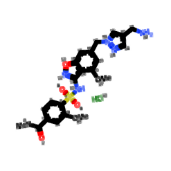 CNC(=O)c1ccc(S(=O)(=O)Nc2noc3cc(Cn4cc(CN)cn4)cc(OC)c23)c(OC)c1.Cl